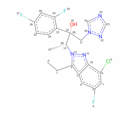 CCc1c2cc(F)cc(Cl)c2nn1[C@H](C)[C@](O)(Cn1cncn1)c1ccc(F)cc1F